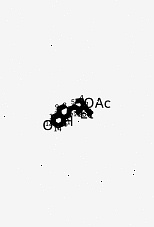 C#C[C@@]1(OC(C)=O)CC[C@@H]([C@@H]2CCC3=CC(=O)CC[C@@H]3C2)[C@]1(C)CC